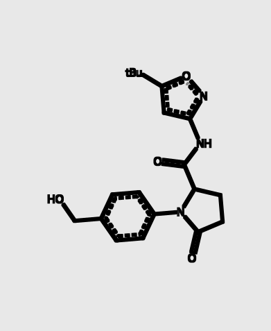 CC(C)(C)c1cc(NC(=O)C2CCC(=O)N2c2ccc(CO)cc2)no1